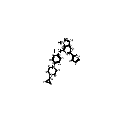 c1csc(-c2nc(Nc3ccc(N4CCN(C5CC5)CC4)cc3)c3[nH]ncc3n2)c1